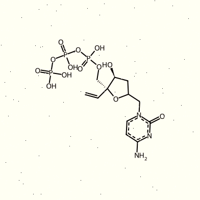 C=C[C@]1(COP(=O)(O)OP(=O)(O)OP(=O)(O)O)OC(Cn2ccc(N)nc2=O)C[C@@H]1O